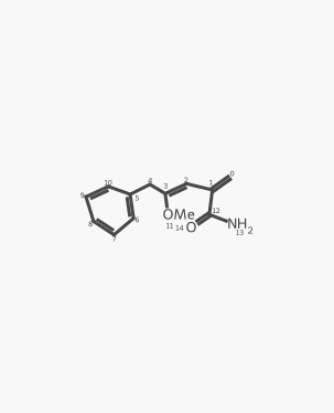 C=C(/C=C(/Cc1ccccc1)OC)C(N)=O